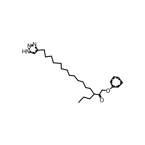 CCCC(CCCCCCCCCCCCCc1c[nH]nn1)C(=O)COc1ccccc1